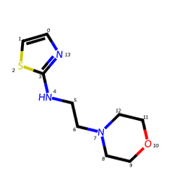 c1csc(NCCN2CCOCC2)n1